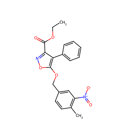 CCOC(=O)c1noc(OCc2ccc(C)c([N+](=O)[O-])c2)c1-c1ccccc1